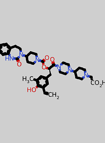 C=Cc1cc(C[C@@H](OC(=O)N2CCC(N3CCc4ccccc4NC3=O)CC2)C(=O)N2CCN(C3CCN(CC(=O)O)CC3)CC2)cc(C)c1O